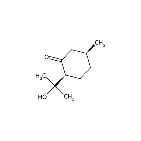 C[C@H]1CC[C@@H](C(C)(C)O)C(=O)C1